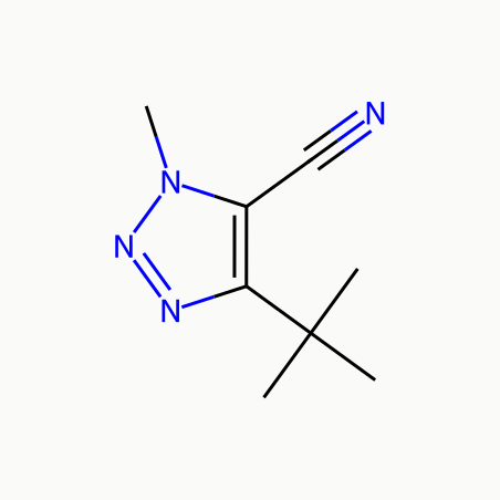 Cn1nnc(C(C)(C)C)c1C#N